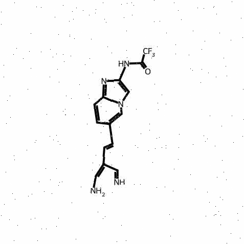 N=CC(=C\N)/C=C/c1ccc2nc(NC(=O)C(F)(F)F)cn2c1